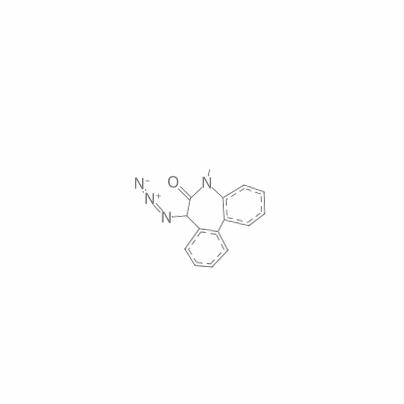 CN1C(=O)C(N=[N+]=[N-])c2ccccc2-c2ccccc21